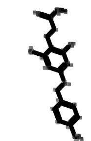 COC(=O)CCc1c(Cl)nc(SCc2ccc([N+](=O)[O-])cc2)nc1Cl